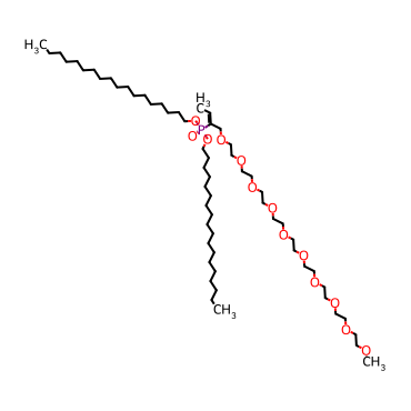 CC=C(COCCOCCOCCOCCOCCOCCOCCOCCOCCOC)P(=O)(OCCCCCCCCCCCCCCCCCC)OCCCCCCCCCCCCCCCCCC